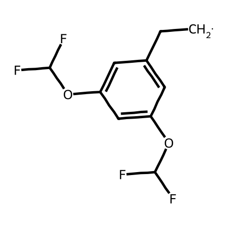 [CH2]Cc1cc(OC(F)F)cc(OC(F)F)c1